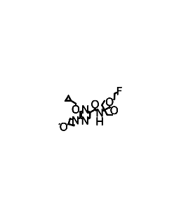 CCC(CC)(NC(=O)c1cnc(N2CC(OC)C2)c(OCC2CC2)n1)C(=O)OCCF